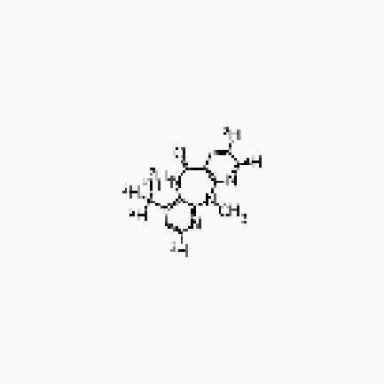 [2H]c1cc(C([2H])([2H])[2H])c2c(n1)N(C)c1nc([2H])c([2H])cc1C(=O)N2[2H]